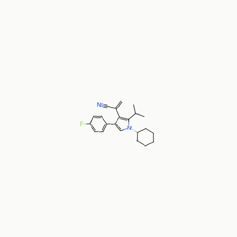 C=C(C#N)c1c(-c2ccc(F)cc2)cn(C2CCCCC2)c1C(C)C